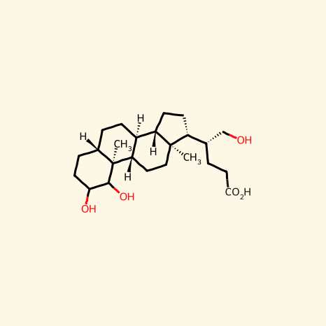 C[C@]12CC[C@H]3[C@@H](CC[C@H]4CCC(O)C(O)[C@@]43C)[C@@H]1CC[C@@H]2[C@H](CO)CCC(=O)O